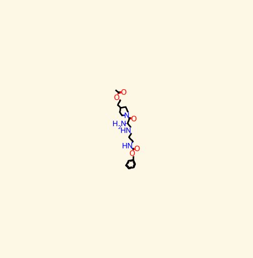 CC(=O)OCCC1CCN(C(=O)[C@@H](N)CNCCCNC(=O)OCc2ccccc2)CC1